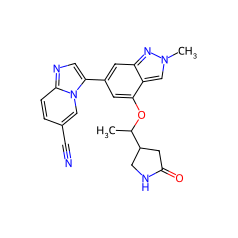 CC(Oc1cc(-c2cnc3ccc(C#N)cn23)cc2nn(C)cc12)C1CNC(=O)C1